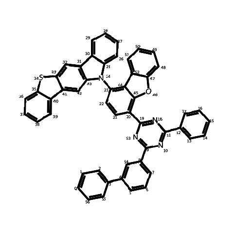 c1ccc(-c2cccc(-c3nc(-c4ccccc4)nc(-c4ccc(-n5c6ccccc6c6cc7sc8ccccc8c7cc65)c5c4oc4ccccc45)n3)c2)cc1